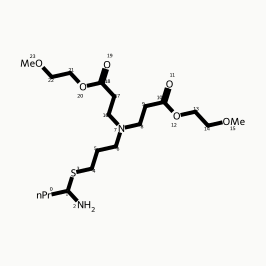 CCCC(N)SCCCN(CCC(=O)OCCOC)CCC(=O)OCCOC